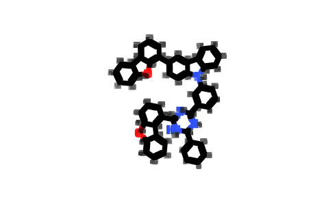 c1ccc(C2N=C(c3cccc(-n4c5ccccc5c5cc(-c6cccc7c6oc6ccccc67)ccc54)c3)N=C(c3cccc4oc5ccccc5c34)N2)cc1